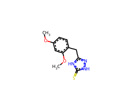 COc1ccc(Cc2n[nH]c(=S)[nH]2)c(OC)c1